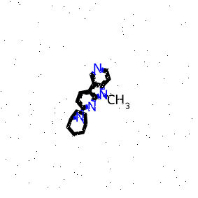 Cn1c2ccncc2c2ccc(N3C4CCCC3CC4)nc21